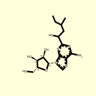 CCC(C)CC(O)c1nc(N)c2ncn([C@@H]3O[C@H](CO)[C@@H](O)[C@H]3O)c2n1